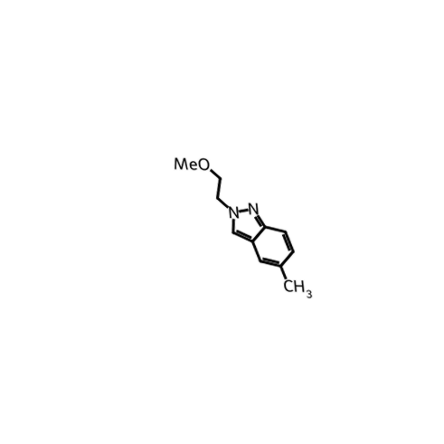 COCCn1cc2cc(C)ccc2n1